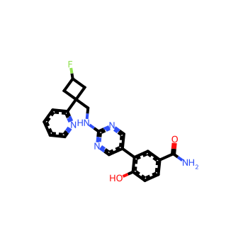 NC(=O)c1ccc(O)c(-c2cnc(NCC3(c4ccccn4)CC(F)C3)nc2)c1